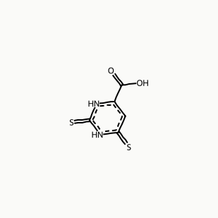 O=C(O)c1cc(=S)[nH]c(=S)[nH]1